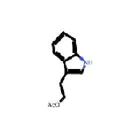 CC(=O)OCCc1c[nH]c2ccccc12